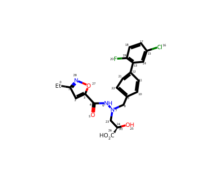 CCc1cc(C(=O)NN(Cc2ccc(-c3cc(Cl)ccc3F)cc2)C[C@@H](O)C(=O)O)on1